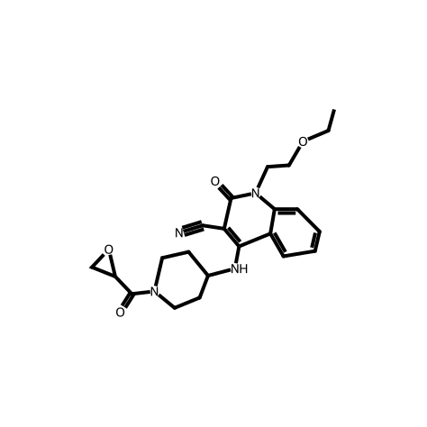 CCOCCn1c(=O)c(C#N)c(NC2CCN(C(=O)C3CO3)CC2)c2ccccc21